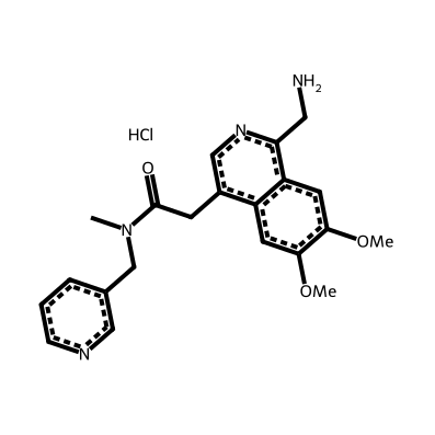 COc1cc2c(CC(=O)N(C)Cc3cccnc3)cnc(CN)c2cc1OC.Cl